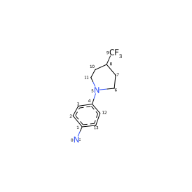 [N]c1ccc(N2CCC(C(F)(F)F)CC2)cc1